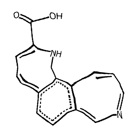 O=C(O)C1=CC=c2ccc3c(c2N1)C=CC=NC=3